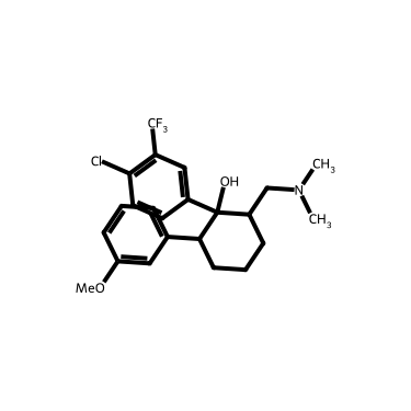 COc1cccc(C2CCCC(CN(C)C)C2(O)c2ccc(Cl)c(C(F)(F)F)c2)c1